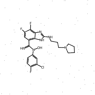 N=C(c1cc(F)c(F)c2nc(NCCCN3CCCC3)[nH]c12)N(O)c1ccc(F)c(Cl)c1